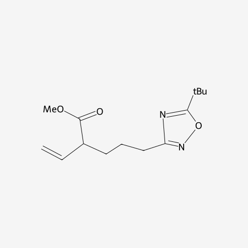 C=CC(CCCc1noc(C(C)(C)C)n1)C(=O)OC